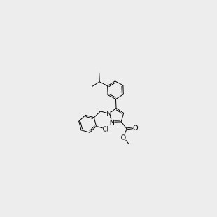 COC(=O)c1cc(-c2cccc(C(C)C)c2)n(Cc2ccccc2Cl)n1